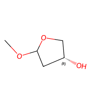 COC1C[C@@H](O)CO1